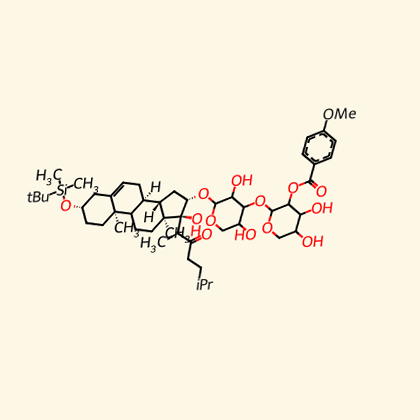 COc1ccc(C(=O)OC2C(OC3C(O)COC(O[C@H]4C[C@H]5[C@@H]6CC=C7C[C@@H](O[Si](C)(C)C(C)(C)C)CC[C@]7(C)C6CC[C@]5(C)[C@@]4(O)[C@H](C)C(=O)CCC(C)C)C3O)OCC(O)C2O)cc1